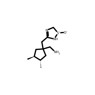 C[C@H]1CC(CN)(CC2=NC[S+]([O-])N2)C[C@@H]1C